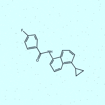 O=C(Nc1cccc2c(C3CC3)cccc12)c1ccc(F)cc1